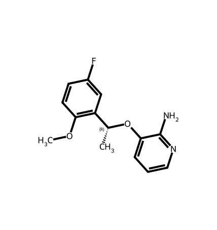 COc1ccc(F)cc1[C@@H](C)Oc1cccnc1N